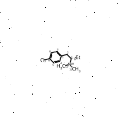 CC[C@@H](Cc1ccc(Cl)cc1)N(C)C